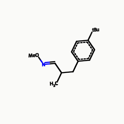 CON=CC(C)Cc1ccc(C(C)(C)C)cc1